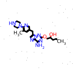 CCCC(O)COc1nc(N)c2ncc(Cc3cnc(N4CCNCC4)c(C)c3)n2n1